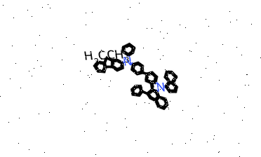 CC1(C)c2ccccc2-c2ccc(N(c3ccccc3)c3ccc(-c4ccc5c(c4)c4c(-c6ccccc6)cc6ccccc6c4n5-c4cccc5ccccc45)cc3)cc21